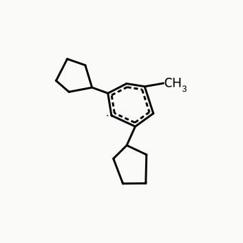 Cc1cc(C2CCCC2)[c]c(C2CCCC2)c1